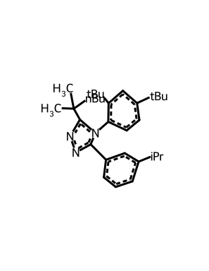 CCCCC(C)(C)c1nnc(-c2cccc(C(C)C)c2)n1-c1ccc(C(C)(C)C)cc1C(C)(C)C